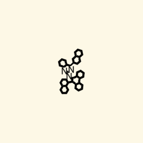 c1ccc2cc(-c3nc(-n4c5ccc6ccccc6c5c5c6ccccc6c6ccccc6c54)nc4ccccc34)ccc2c1